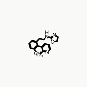 Cc1cccc(CCNC2=NCCO2)c1-c1cccnc1Cl